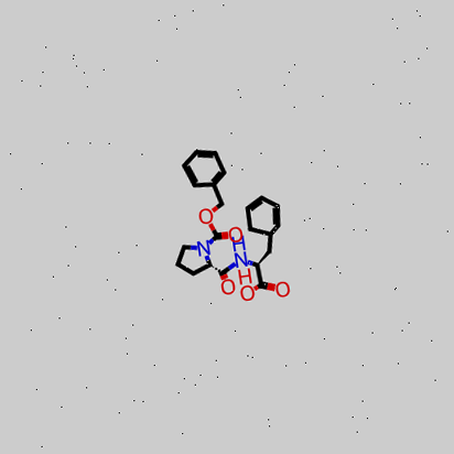 O=C(O)[C@H](CC1C=CC=CC1)NC(=O)[C@@H]1CCCN1C(=O)OCc1ccccc1